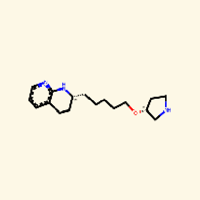 c1cnc2c(c1)CC[C@@H](CCCCCO[C@@H]1CCNC1)N2